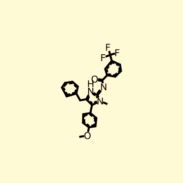 COc1ccc(-c2c(Cc3ccccc3)[nH]/c(=N\C(=O)c3cccc(C(F)(F)F)c3)n2C)cc1